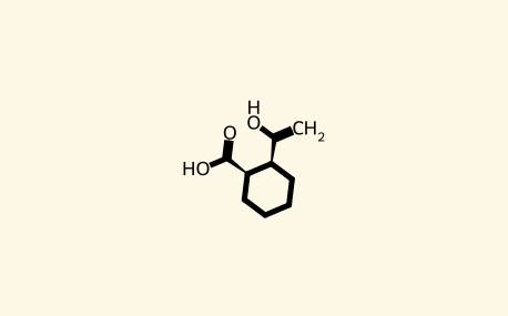 C=C(O)[C@H]1CCCC[C@H]1C(=O)O